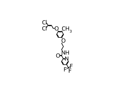 Cc1cc(OCCCNC(=O)c2ccc(C(F)(F)F)cn2)ccc1OCC=C(Cl)Cl